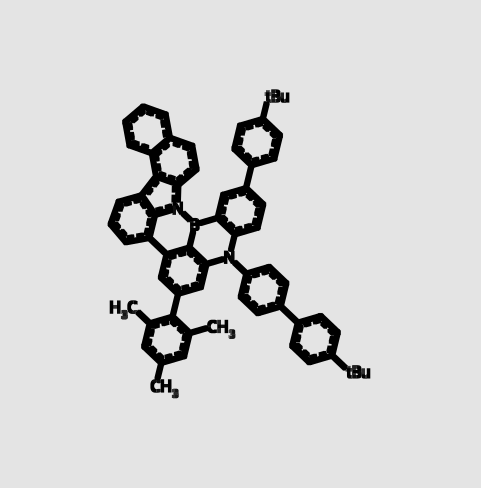 Cc1cc(C)c(-c2cc3c4c(c2)N(c2ccc(-c5ccc(C(C)(C)C)cc5)cc2)c2ccc(-c5ccc(C(C)(C)C)cc5)cc2B4n2c4ccc5ccccc5c4c4cccc-3c42)c(C)c1